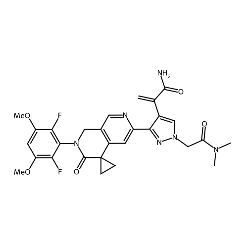 C=C(C(N)=O)c1cn(CC(=O)N(C)C)nc1-c1cc2c(cn1)CN(c1c(F)c(OC)cc(OC)c1F)C(=O)C21CC1